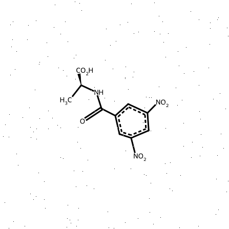 C[C@H](NC(=O)c1cc([N+](=O)[O-])cc([N+](=O)[O-])c1)C(=O)O